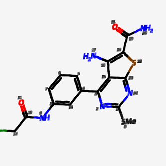 CSc1nc(-c2cccc(NC(=O)CBr)c2)c2c(N)c(C(N)=O)sc2n1